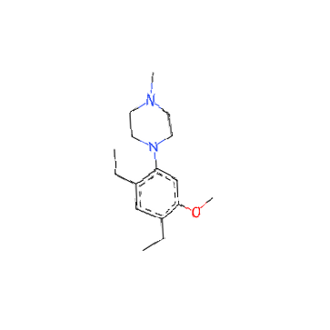 CCc1cc(CC)c(N2CCN(C)CC2)cc1OC